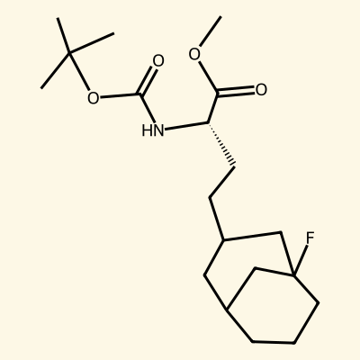 COC(=O)[C@H](CCC1CC2CCCC(F)(C2)C1)NC(=O)OC(C)(C)C